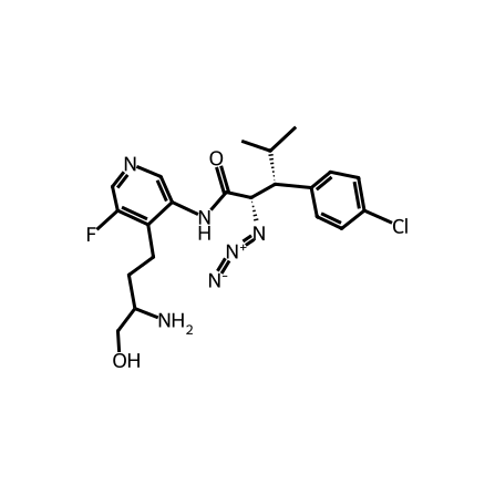 CC(C)[C@H](c1ccc(Cl)cc1)[C@H](N=[N+]=[N-])C(=O)Nc1cncc(F)c1CCC(N)CO